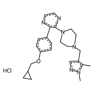 Cc1c(CN2CCN(c3nccnc3-c3ccc(OCC4CC4)cc3)CC2)cnn1C.Cl